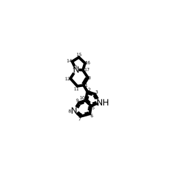 C1=C(c2c[nH]c3ccncc23)CCN2CCCC12